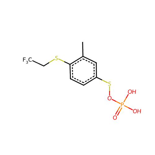 Cc1cc(SOP(=O)(O)O)ccc1SCC(F)(F)F